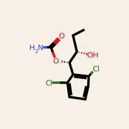 CC[C@H](O)[C@@H](OC(N)=O)c1c(Cl)cccc1Cl